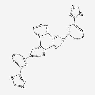 c1cc(-c2ccc3c4ccc(-c5cccc(-c6cncs6)c5)cc4c4ccccc4c3c2)cc(-c2cncs2)c1